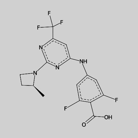 C[C@H]1CCN1c1nc(Nc2cc(F)c(C(=O)O)c(F)c2)cc(C(F)(F)F)n1